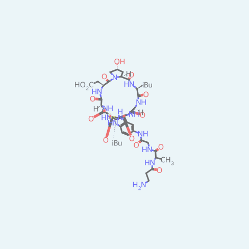 CCC(C)[C@@H]1NC(=O)[C@@H]2C[C@@H](O)CN2C(=O)[C@H](CC(=O)O)NC(=O)[C@@H]2CSc3[nH]c4ccc(NC(=O)CNC(=O)C(C)NC(=O)CCN)cc4c3C[C@H](NC1=O)C(=O)NCC(=O)N[C@@H]([C@@H](C)CC)C(=O)NCC(=O)N2